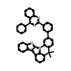 CC1(C)c2ccc(-c3cccc(-c4nc(-c5ccccc5)c5ccccc5n4)c3)cc2-n2c3oc4ccccc4c3c3cccc1c32